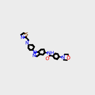 O=C(Nc1ccc2c(cnn2-c2ccc(N=Cc3nccs3)cc2)c1)c1ccc(N2CCOCC2)cc1